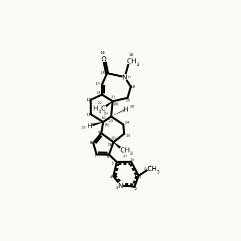 Cc1cncc(C2=CC=C3[C@@H]4CCC5=CC(=O)N(C)CC[C@]5(C)[C@H]4CC[C@]23C)c1